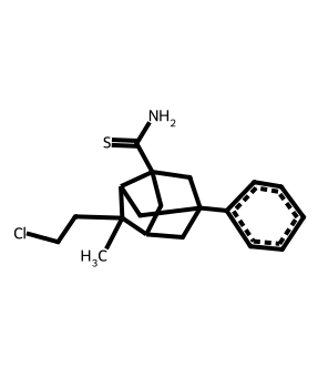 CC1(CCCl)C2CC3(c4ccccc4)CC1C(C(N)=S)(C2)C3